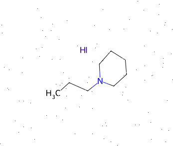 CCCN1CCCCC1.I